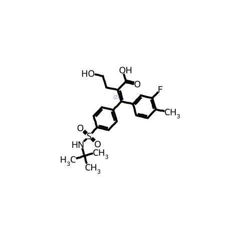 Cc1ccc(/C(=C(/CCO)C(=O)O)c2ccc(S(=O)(=O)NC(C)(C)C)cc2)cc1F